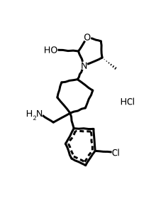 C[C@H]1COC(O)N1C1CCC(CN)(c2cccc(Cl)c2)CC1.Cl